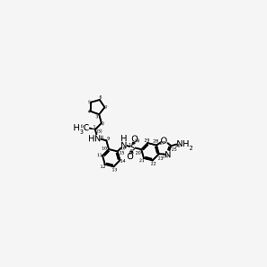 C[C@@H](CC1CCCC1)NCc1ccccc1NS(=O)(=O)c1ccc2nc(N)oc2c1